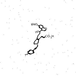 COc1ccc2nccc([C@@H](O)CCC3CCN(CC#Cc4ccc(F)cc4)CC3CCC(=O)O)c2c1